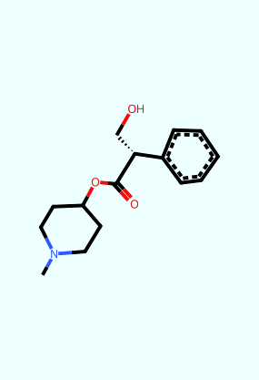 CN1CCC(OC(=O)[C@H](CO)c2ccccc2)CC1